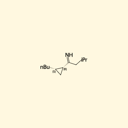 CCCC[C@H]1C[C@H]1C(=N)CC(C)C